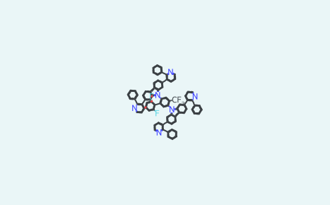 Fc1cccc(F)c1-c1cc(-n2c3cc(-c4cccnc4-c4ccccc4)ccc3c3ccc(-c4cccnc4-c4ccccc4)cc32)c(C(F)(F)F)cc1-n1c2cc(-c3cccnc3-c3ccccc3)ccc2c2ccc(-c3cccnc3-c3ccccc3)cc21